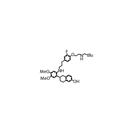 COc1cc(NCCCc2ccc(OCCNCC(C)(C)C)c(F)c2)c(C2CCc3cc(O)ccc3C2)cc1OC